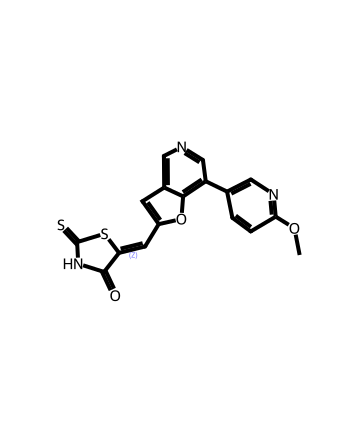 COc1ccc(-c2cncc3cc(/C=C4\SC(=S)NC4=O)oc23)cn1